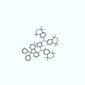 Cc1cc2c3c(c1)N(c1cccc4c1-c1ccccc1[Si]4(c1ccccc1)c1ccccc1)c1cc4c(cc1B3c1cc3c(cc1N2c1ccc2c(c1)C(C)(C)CCC2(C)C)C(C)(C)CCC3(C)C)C(C)(C)CCC4(C)C